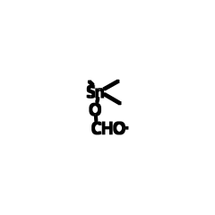 [CH3][Sn]([CH3])([CH3])[O][C]=O